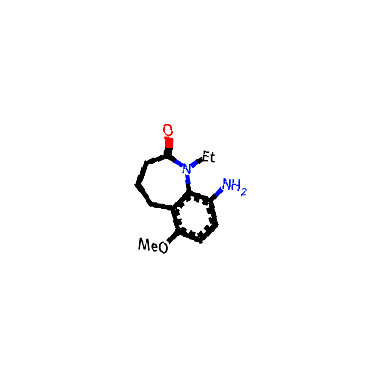 CCN1C(=O)CCCc2c(OC)ccc(N)c21